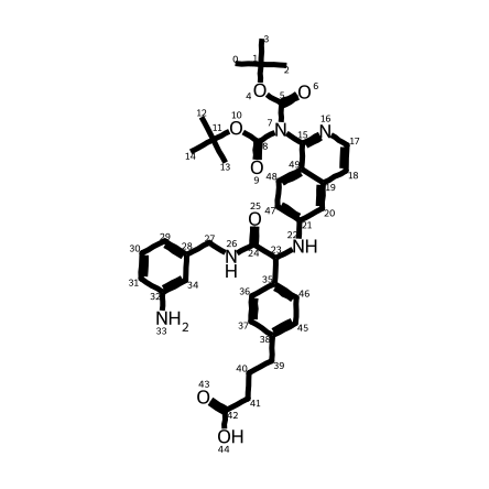 CC(C)(C)OC(=O)N(C(=O)OC(C)(C)C)c1nccc2cc(NC(C(=O)NCc3cccc(N)c3)c3ccc(CCCC(=O)O)cc3)ccc12